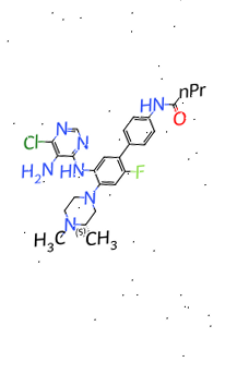 CCCC(=O)Nc1ccc(-c2cc(Nc3ncnc(Cl)c3N)c(N3CCN(C)[C@@H](C)C3)cc2F)cc1